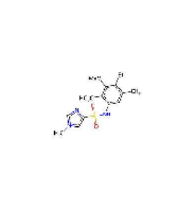 CCc1c(C)cc(NS(=O)(=O)c2cn(C)cn2)c(C(=O)O)c1OC